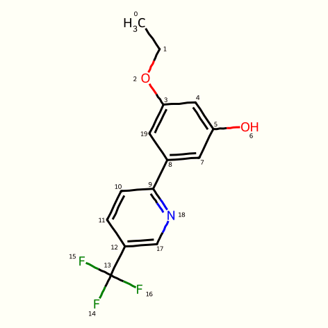 CCOc1cc(O)cc(-c2ccc(C(F)(F)F)cn2)c1